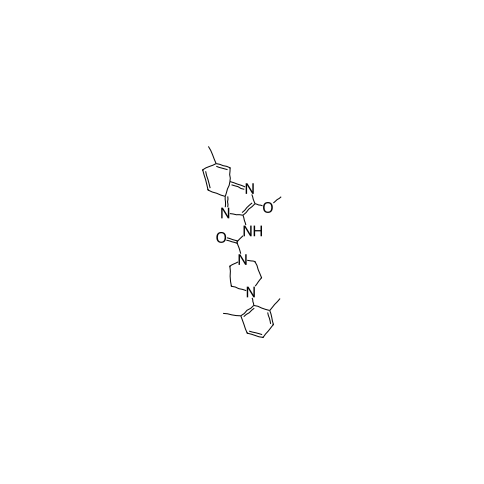 COc1nc2cc(C)ccc2nc1NC(=O)N1CCN(c2c(C)cccc2C)CC1